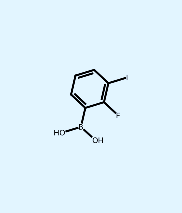 OB(O)c1cccc(I)c1F